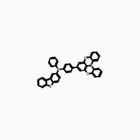 c1ccc(N(c2ccc(-c3cc4c5c(c3)Oc3ccccc3B5c3ccccc3O4)cc2)c2ccc3sc4ccccc4c3c2)cc1